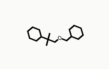 CC(C)(COCC1CCCCC1)C1CCCCC1